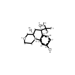 O[C@@]1(C(F)(F)F)C[C@@H]2COCCN2c2cc(Cl)cnc21